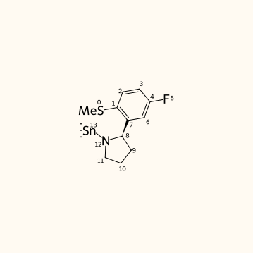 CSc1ccc(F)cc1[C@H]1CCC[N]1[Sn]